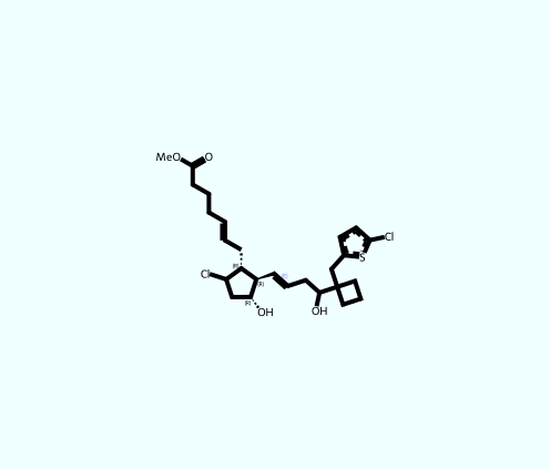 COC(=O)CCCC=CC[C@H]1C(Cl)C[C@@H](O)[C@@H]1/C=C/CC(O)C1(Cc2ccc(Cl)s2)CCC1